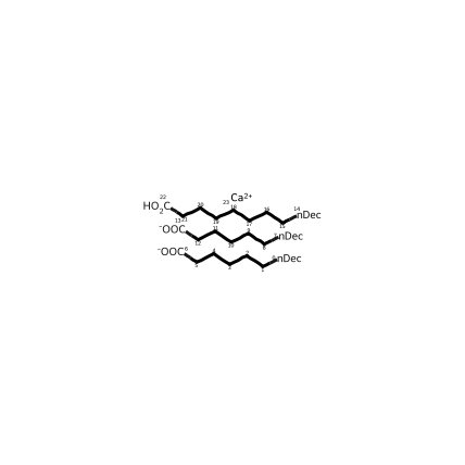 CCCCCCCCCCCCCCCC(=O)[O-].CCCCCCCCCCCCCCCC(=O)[O-].CCCCCCCCCCCCCCCCCC(=O)O.[Ca+2]